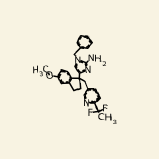 COc1ccc2c(c1)CCC2(Cc1ccc(C(C)(F)F)nc1)c1cn(Cc2ccccc2)c(N)n1